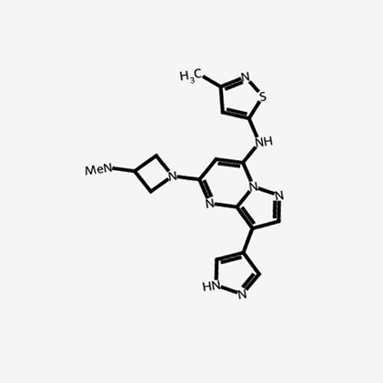 CNC1CN(c2cc(Nc3cc(C)ns3)n3ncc(-c4cn[nH]c4)c3n2)C1